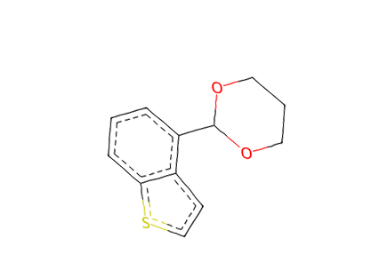 c1cc(C2OCCCO2)c2ccsc2c1